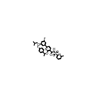 Cc1cccc(S(=O)(=O)NC(=O)c2ccc(-c3cc(F)cc(OCC(C)C)c3)nc2OC(C)c2ccc(F)cc2)n1